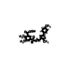 COC(=O)c1cc(S(=O)(=O)NCCc2nc(-c3ccc(C)cc3)sc2C)cc(C)c1C